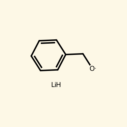 [LiH].[O]Cc1ccccc1